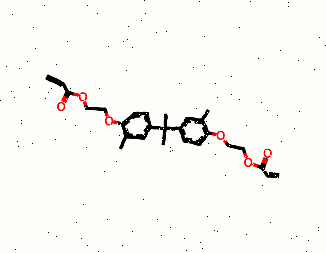 C=CC(=O)OCCOc1ccc(C(C)(C)c2ccc(OCCOC(=O)C=C)c(C)c2)cc1C